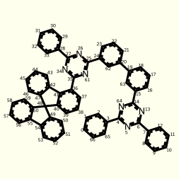 c1ccc(-c2nc(-c3ccccc3)nc(-c3cccc(-c4cccc(-c5nc(-c6ccccc6)nc(-c6cccc7c6-c6ccccc6C76c7ccccc7-c7ccccc76)n5)c4)c3)n2)cc1